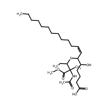 CCCCCCCCCCC/C=C\C(SC(CC)C(C)(NC(C)=O)C(=O)OC)C(O)CCCC(=O)O